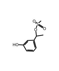 CC(OS(C)(=O)=O)c1cccc(O)c1